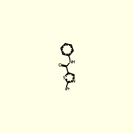 CC(C)c1ncc(C(=O)Nc2ccccc2)s1